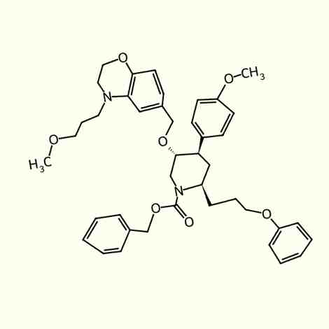 COCCCN1CCOc2ccc(CO[C@H]3CN(C(=O)OCc4ccccc4)[C@H](CCCOc4ccccc4)C[C@@H]3c3ccc(OC)cc3)cc21